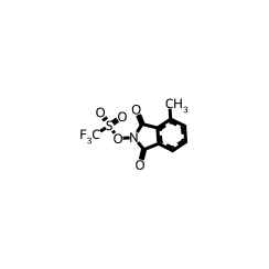 Cc1cccc2c1C(=O)N(OS(=O)(=O)C(F)(F)F)C2=O